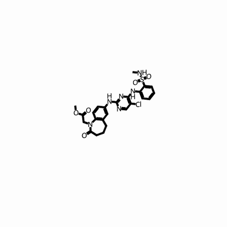 CNS(=O)(=O)c1ccccc1Nc1nc(Nc2ccc3c(c2)CCCC(=O)N3CC(=O)OC)ncc1Cl